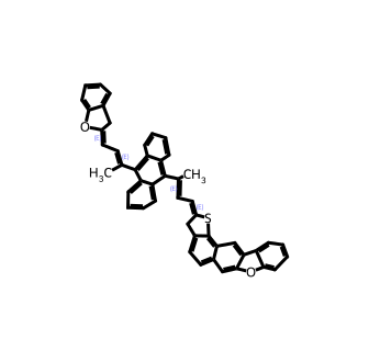 C/C(=C\C=C1/Cc2ccccc2O1)c1c2ccccc2c(/C(C)=C/C=C2\Cc3ccc4cc5oc6ccccc6c5cc4c3S2)c2ccccc12